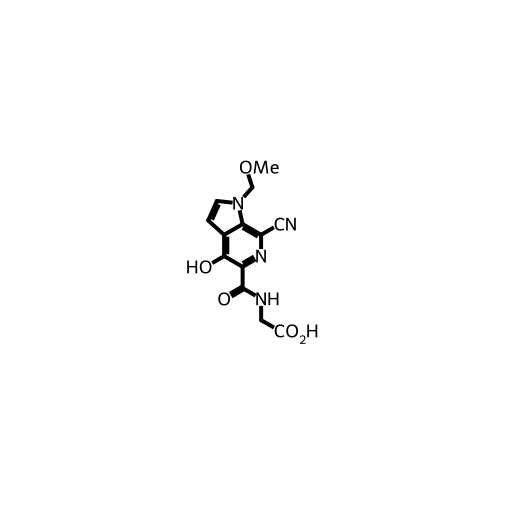 COCn1ccc2c(O)c(C(=O)NCC(=O)O)nc(C#N)c21